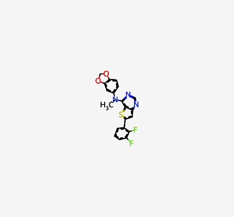 CN(c1ccc2c(c1)OCO2)c1ncnc2cc(-c3cccc(F)c3F)sc12